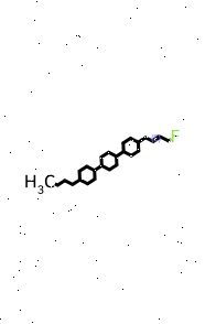 CCCCC1CCC(C2CCC(C3CCC(C/C=C/CF)CC3)CC2)CC1